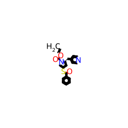 C=CCOC(=O)N1C[C@@H](SC(=O)c2ccccc2)C[C@H]1Cc1ccncc1